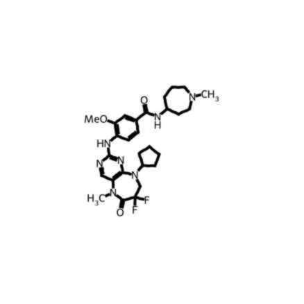 COc1cc(C(=O)NC2CCCN(C)CC2)ccc1Nc1ncc2c(n1)N(C1CCCC1)CC(F)(F)C(=O)N2C